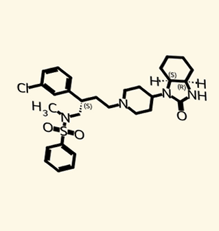 CN(C[C@@H](CCN1CCC(N2C(=O)N[C@@H]3CCCC[C@@H]32)CC1)c1cccc(Cl)c1)S(=O)(=O)c1ccccc1